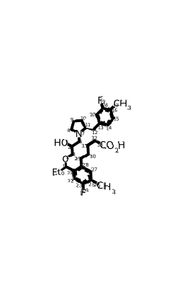 CCC(OCC(O)CN1CCC[C@H]1Cc1ccc(C)c(F)c1)c1cc(F)c(C)cc1CCCCC(=O)O